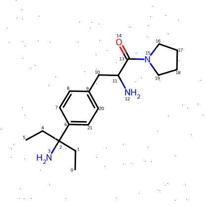 CCC(N)(CC)c1ccc(CC(N)C(=O)N2CCCC2)cc1